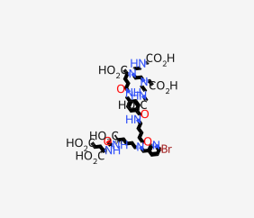 O=C(O)CC[C@@H](NC(=O)N[C@H](CCCCN(Cc1ccc(Br)nc1)C(=O)CCCCNC(=O)c1ccc(CNC(=O)CCC(C(=O)O)N(CCNCC(=O)O)CCN(CCNCC(=O)O)CC(=O)O)cc1)C(=O)O)C(=O)O